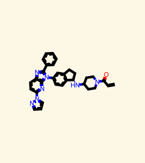 C=CC(=O)N1CCC(N[C@H]2CCc3cc(-n4c(-c5ccccc5)nc5ccc(-n6cccn6)nc54)ccc32)CC1